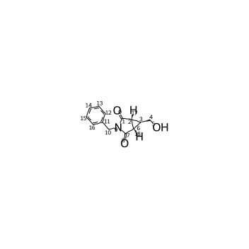 O=C1[C@@H]2[C@@H](CO)[C@@H]2C(=O)N1Cc1ccccc1